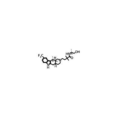 C[C@H](CO)NC(=O)C(C)(C)CCN1CC[C@@H]2Cc3[nH]c4ccc(C(F)(F)F)cc4c3[C@H](C)[C@H]2C1